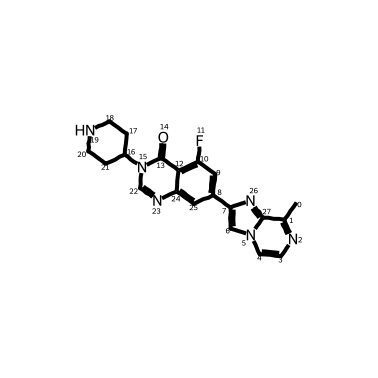 Cc1nccn2cc(-c3cc(F)c4c(=O)n(C5CCNCC5)cnc4c3)nc12